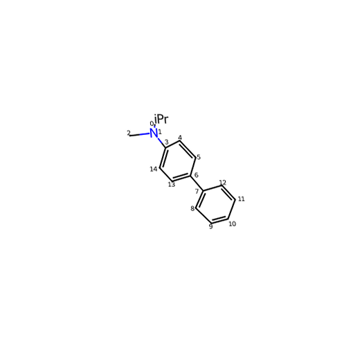 CC(C)N(C)c1ccc(-c2ccccc2)cc1